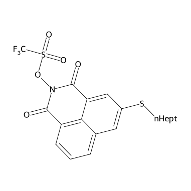 CCCCCCCSc1cc2c3c(cccc3c1)C(=O)N(OS(=O)(=O)C(F)(F)F)C2=O